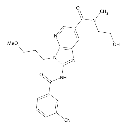 COCCCn1c(NC(=O)c2cccc(C#N)c2)nc2cc(C(=O)N(C)CCO)cnc21